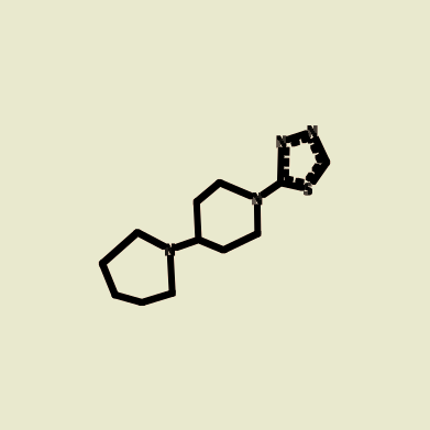 c1nnc(N2CCC(N3CCCCC3)CC2)s1